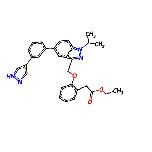 CCOC(=O)Cc1ccccc1OCc1nn(C(C)C)c2ccc(-c3cccc(-c4cn[nH]c4)c3)cc12